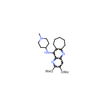 COc1cc2nc3c(c(NC4CCN(C)CC4)c2nc1OC)CCCCC3